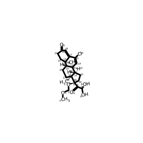 COCO[C@]1(C(=O)C(O)O)CC[C@H]2[C@@H]3C=C(Cl)C4=CC(=O)CC[C@]4(C)[C@H]3CC[C@@]21C